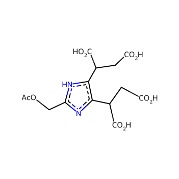 CC(=O)OCc1nc(C(CC(=O)O)C(=O)O)c(C(CC(=O)O)C(=O)O)[nH]1